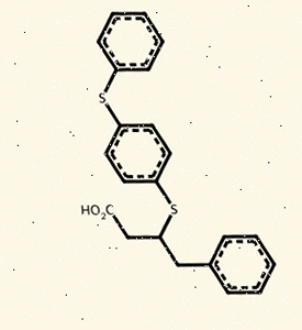 O=C(O)CC(Cc1ccccc1)Sc1ccc(Sc2ccccc2)cc1